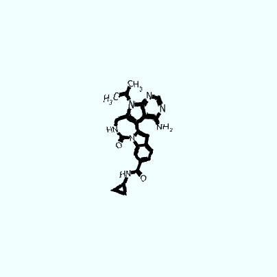 CC(C)n1c2c(c3c(N)ncnc31)-c1cc3ccc(C(=O)NC4CC4)cc3n1C(=O)NC2